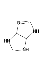 C1=NC2NCNC2N1